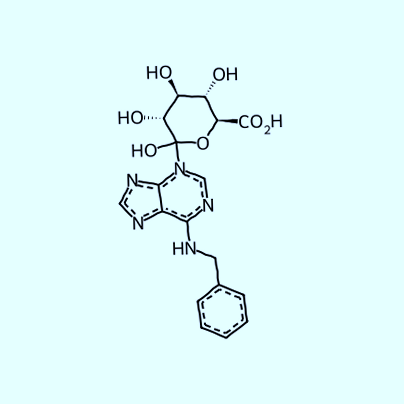 O=C(O)[C@H]1OC(O)(n2cnc(NCc3ccccc3)c3ncnc2-3)[C@H](O)[C@@H](O)[C@@H]1O